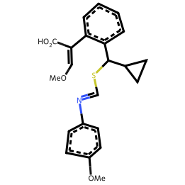 COC=C(C(=O)O)c1ccccc1C(SC=Nc1ccc(OC)cc1)C1CC1